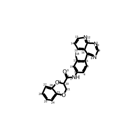 O=C(Nc1ccc(-c2ncnc3ncccc23)c(I)c1)C1COc2ccccc2O1